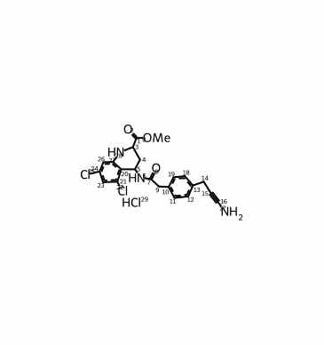 COC(=O)C1CC(NC(=O)Cc2ccc(CC#CN)cc2)c2c(Cl)cc(Cl)cc2N1.Cl